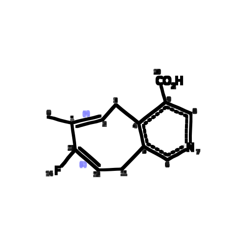 CC1=C\Cc2c(cncc2C(=O)O)C/C=C\1F